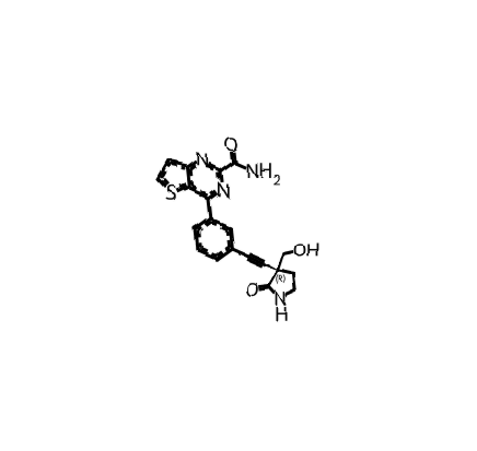 NC(=O)c1nc(-c2cccc(C#C[C@@]3(CO)CCNC3=O)c2)c2sccc2n1